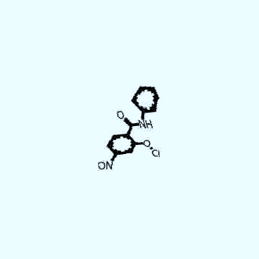 O=Nc1ccc(C(=O)Nc2ccccc2)c(OCl)c1